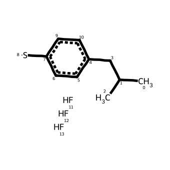 CC(C)Cc1ccc([S])cc1.F.F.F